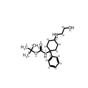 CC(C)(C)OC(=O)NC1(c2ccccc2)CCC(NCCO)CC1